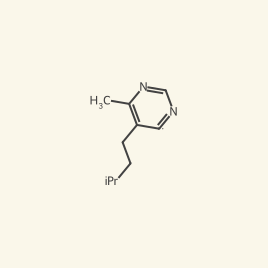 Cc1ncn[c]c1CCC(C)C